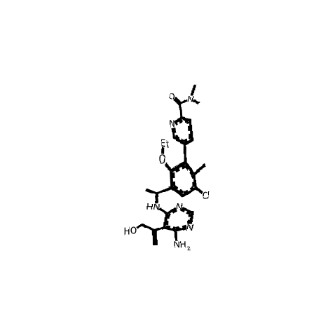 C=C(CO)c1c(N)ncnc1NC(C)c1cc(Cl)c(C)c(-c2ccc(C(=O)N(C)C)nc2)c1OCC